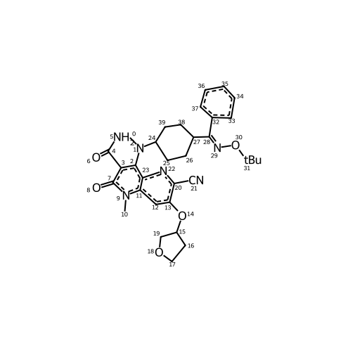 CN(c1c(C(N)=O)c(=O)n(C)c2cc(OC3CCOC3)c(C#N)nc12)C1CCC(/C(=N/OC(C)(C)C)c2ccccc2)CC1